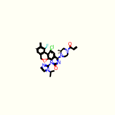 C=CC(=O)N1CCN(c2nc(=O)n(-c3nccn3C(C)C)c3c4c(c(Cl)cc23)-c2c(ccc(C)c2F)CO4)[C@@H](C)C1